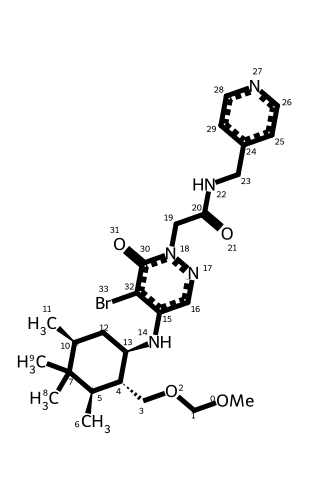 COCOC[C@@H]1[C@@H](C)C(C)(C)[C@@H](C)C[C@H]1Nc1cnn(CC(=O)NCc2ccncc2)c(=O)c1Br